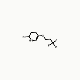 CCC(F)(F)CCOC1=CNC(Br)CC1